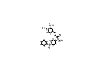 CCCCc1cc(CCC(=O)N(c2ccc(Nc3ccccc3)cc2)C(C)C)ccc1O